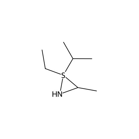 CCS1(C(C)C)NC1C